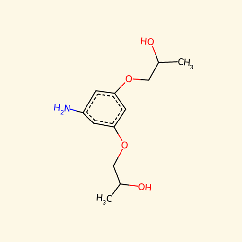 CC(O)COc1cc(N)cc(OCC(C)O)c1